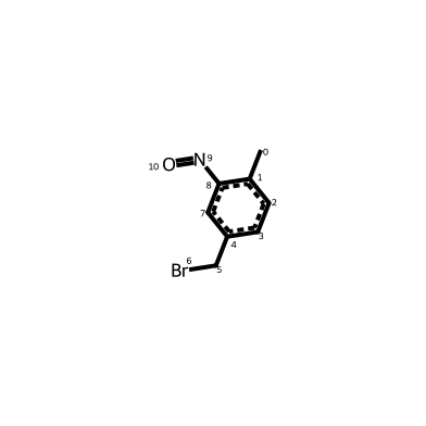 Cc1ccc(CBr)cc1N=O